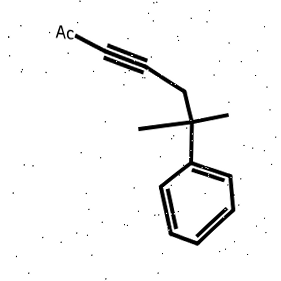 CC(=O)C#CCC(C)(C)c1ccccc1